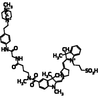 CN1/C(=C/C2=CC(=C/C3=[N+](CCCS(=O)(=O)O)c4ccccc4C3(C)C)/CC2)C(C)(C)c2cc(S(=O)(=O)N(C)CCCC(=O)NCC(=O)Nc3ccc(CC[N+]45CC[N+](C)(CC4)CC5)cc3)ccc21